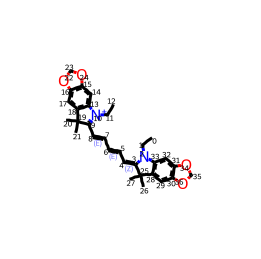 CCN1\C(=C/C=C/C=C/C2=[N+](CC)c3cc4c(cc3C2(C)C)OCO4)C(C)(C)c2cc3c(cc21)OCO3